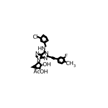 CC(=O)[C@]12CC1[C@@H](n1cnc3c(NCc4cccc(Cl)c4)nc(C#Cc4ccc(C)c(F)c4)nc31)[C@H](O)C2O